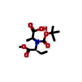 CC[C@H](C(=O)OC)N(C(=O)OC(C)(C)C)[C@@H](C)C(=O)O